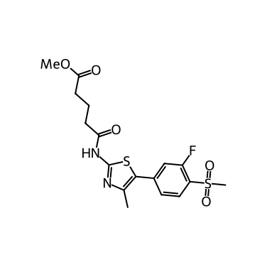 COC(=O)CCCC(=O)Nc1nc(C)c(-c2ccc(S(C)(=O)=O)c(F)c2)s1